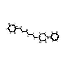 [c]1ccc(N2CCN(CCCCCCc3ccccc3)CC2)cc1